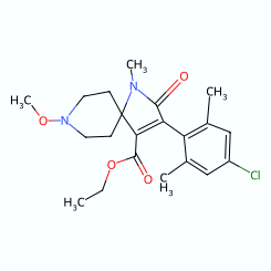 CCOC(=O)C1=C(c2c(C)cc(Cl)cc2C)C(=O)N(C)C12CCN(OC)CC2